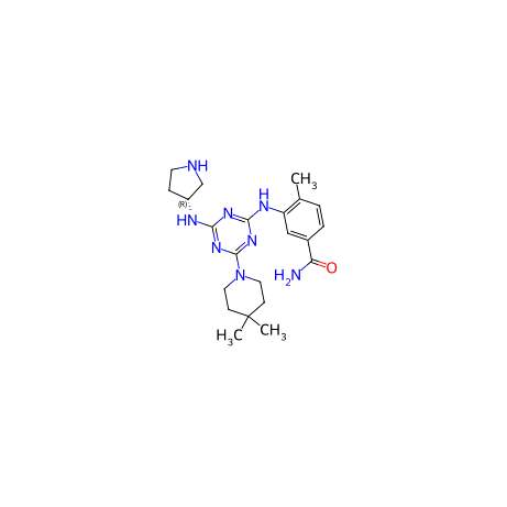 Cc1ccc(C(N)=O)cc1Nc1nc(N[C@@H]2CCNC2)nc(N2CCC(C)(C)CC2)n1